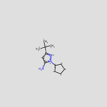 CC(C)(C)c1cc(N)n(C2CCCC2)n1